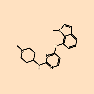 CN1CCC(Nc2nccc(Oc3cccc4ccn(C)c34)n2)CC1